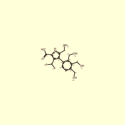 NCc1[nH]c(C(=O)O)c(C(F)F)c1-c1ccc(CO)c(CO)c1CO